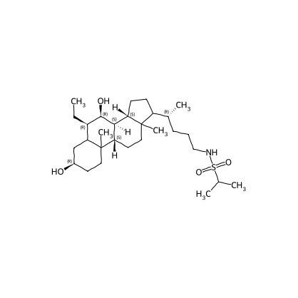 CC[C@@H]1C2C[C@H](O)CCC2(C)[C@H]2CCC3(C)C([C@H](C)CCCNS(=O)(=O)C(C)C)CC[C@H]3[C@@H]2[C@@H]1O